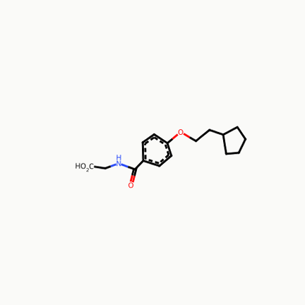 O=C(O)CNC(=O)c1ccc(OCCC2CCCC2)cc1